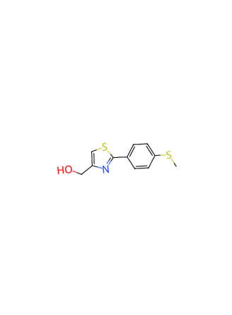 CSc1ccc(-c2nc(CO)cs2)cc1